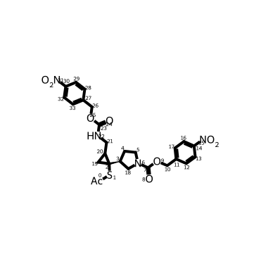 CC(=O)SC1([C@H]2CCN(C(=O)OCc3ccc([N+](=O)[O-])cc3)C2)CC1CNC(=O)OCc1ccc([N+](=O)[O-])cc1